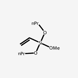 C=C[Si](OC)(OCCC)OCCC